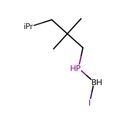 CC(C)CC(C)(C)CPBI